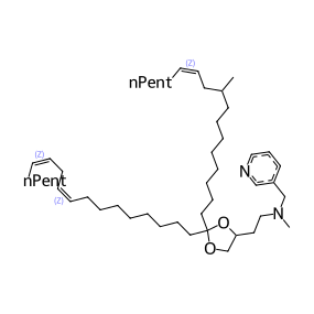 CCCCC/C=C\C/C=C\CCCCCCCCC1(CCCCCCCCC(C)C/C=C\CCCCC)OCC(CCN(C)Cc2cccnc2)O1